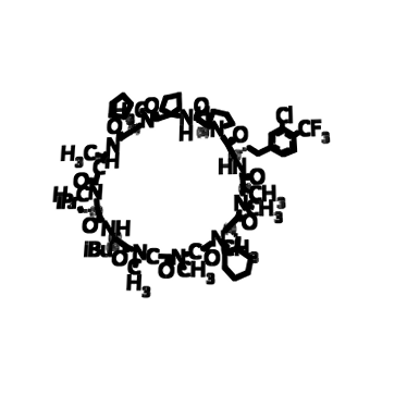 CC[C@H](C)[C@@H]1NC(=O)[C@H](CC(C)C)N(C)C(=O)C[C@@H](C)NC(=O)[C@H](C2CCCC2)N(C)C(=O)C2(CCCC2)NC(=O)[C@@H]2CCCN2C(=O)[C@H](CCc2ccc(C(F)(F)F)c(Cl)c2)NC(=O)[C@@H](C)N(C)C(=O)[C@H](CC2CCCCC2)N(C)C(=O)CN(C)C(=O)CN(C)C1=O